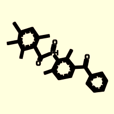 Cc1cc(C)c(C(=O)[PH](=O)c2c(C)ccc(C(=O)c3ccccc3)c2C)c(C)c1C